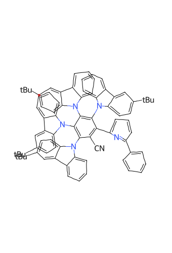 CC(C)(C)c1ccc2c(c1)c1ccccc1n2-c1c(C#N)c(-c2cccc(-c3ccccc3)n2)c(-n2c3ccccc3c3cc(C(C)(C)C)ccc32)c(-n2c3ccccc3c3cc(C(C)(C)C)ccc32)c1-n1c2ccccc2c2cc(C(C)(C)C)ccc21